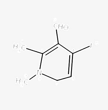 CC1=C(C=O)C(I)=CCN1C